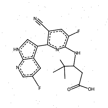 CC(C)(C)C(CC(=O)O)Nc1nc(-c2c[nH]c3ncc(F)cc23)c(C#N)cc1F